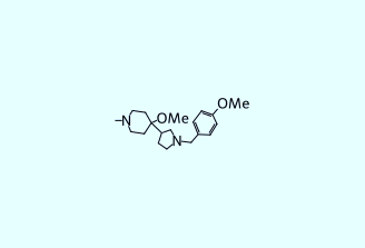 COc1ccc(CN2CCC(C3(OC)CCN(C)CC3)C2)cc1